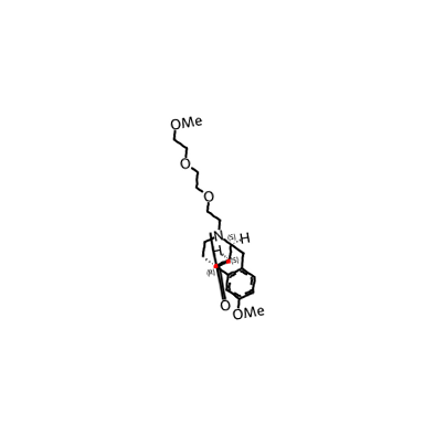 COCCOCCOCCN1CC[C@@]23CC(=O)CC[C@@H]2[C@@H]1Cc1ccc(OC)cc13